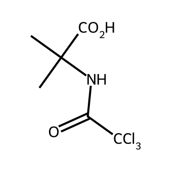 CC(C)(NC(=O)C(Cl)(Cl)Cl)C(=O)O